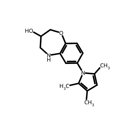 Cc1cc(C)n(-c2ccc3c(c2)NCC(O)CO3)c1C